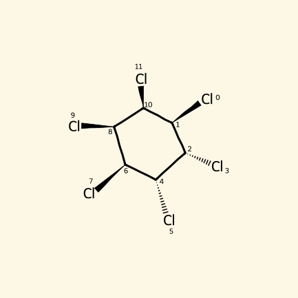 Cl[C@H]1[C@H](Cl)[C@H](Cl)[C@@H](Cl)[C@@H](Cl)[C@H]1Cl